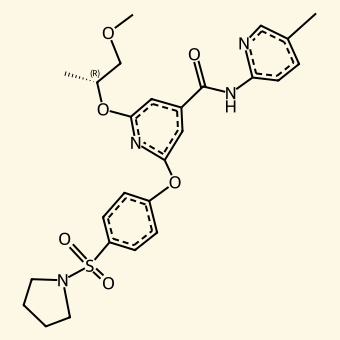 COC[C@@H](C)Oc1cc(C(=O)Nc2ccc(C)cn2)cc(Oc2ccc(S(=O)(=O)N3CCCC3)cc2)n1